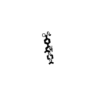 Cc1cc(-c2ccc(C(=O)N(C)C)cc2)nnc1N1CCN(C(C)C)CC1